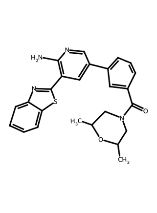 CC1CN(C(=O)c2cccc(-c3cnc(N)c(-c4nc5ccccc5s4)c3)c2)CC(C)O1